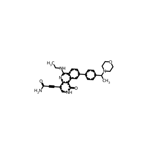 CCNc1nc2c(C#CC(N)=O)c[nH]c(=O)c2c2cc(-c3ccc(C(C)N4CCOCC4)cc3)ccc12